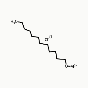 CCCCCCCCCCCC[O][Al+2].[Cl-].[Cl-]